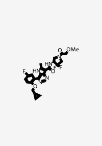 COCC(=O)N1C[C@@H](NC(=O)c2c(C)[nH]c3c(-c4cc(F)ccc4OCC4CC4)ncnc23)C(F)(F)C1